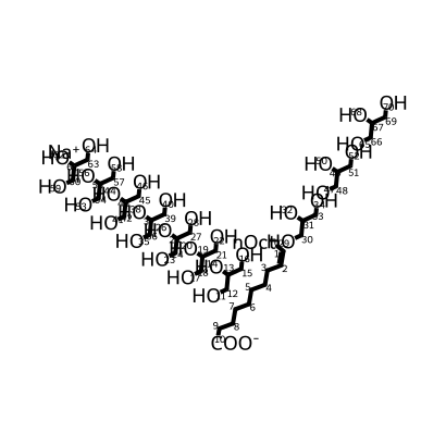 CCCCCCCC/C=C\CCCCCCCC(=O)[O-].OCC(O)CO.OCC(O)CO.OCC(O)CO.OCC(O)CO.OCC(O)CO.OCC(O)CO.OCC(O)CO.OCC(O)CO.OCC(O)CO.OCC(O)CO.[Na+]